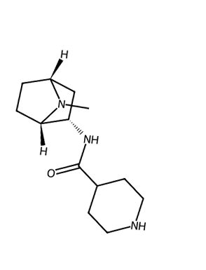 CN1[C@@H]2CC[C@H]1[C@@H](NC(=O)C1CCNCC1)C2